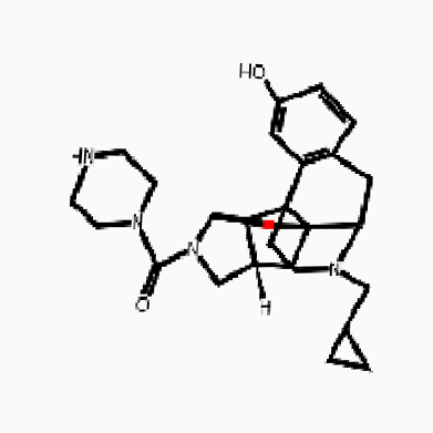 O=C(N1CCNCC1)N1C[C@H]2CC34CCC1C2C31CCN(CC2CC2)C4Cc2ccc(O)cc21